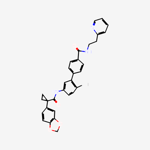 Cc1ccc(NC(=O)C2(c3ccc4c(c3)OCO4)CC2)cc1-c1ccc(C(=O)NCCc2ccccn2)cc1